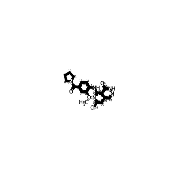 COc1cc(C(=O)N2CCCC2)ccc1Nc1nc(Cl)cc2cn[nH]c(=O)c12